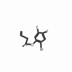 C=CC[C@H](C)Oc1cc(F)c(F)cc1Br